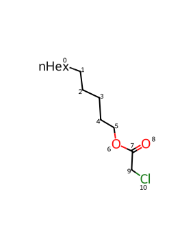 CCCCCCCCCCCOC(=O)CCl